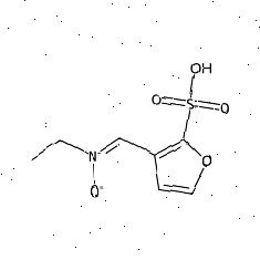 CC[N+]([O-])=Cc1ccoc1S(=O)(=O)O